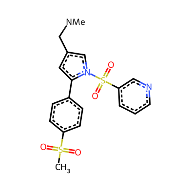 CNCc1cc(-c2ccc(S(C)(=O)=O)cc2)n(S(=O)(=O)c2cccnc2)c1